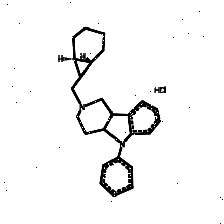 Cl.c1ccc(N2c3ccccc3C3CN(CC4[C@H]5CCCC[C@H]45)CCC32)cc1